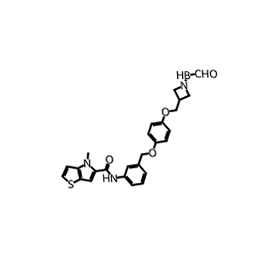 Cn1c(C(=O)Nc2cccc(COc3ccc(OCC4CN(BC=O)C4)cc3)c2)cc2sccc21